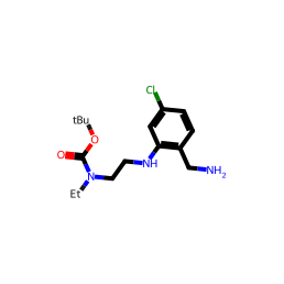 CCN(CCNc1cc(Cl)ccc1CN)C(=O)OC(C)(C)C